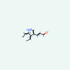 C/C=c1/c(/C=C/C=O)c[nH]/c1=C/C